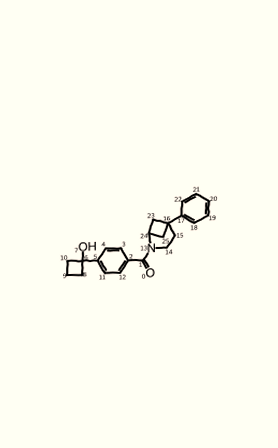 O=C(c1ccc(C2(O)CCC2)cc1)N1CCC2(c3ccccc3)CC1C2